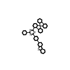 c1ccc(-c2nc(-c3ccc(-c4ccc5c(c4)sc4ccccc45)cc3)nc(-c3cccc4c3-c3ccccc3C43c4ccccc4-c4ccccc43)n2)cc1